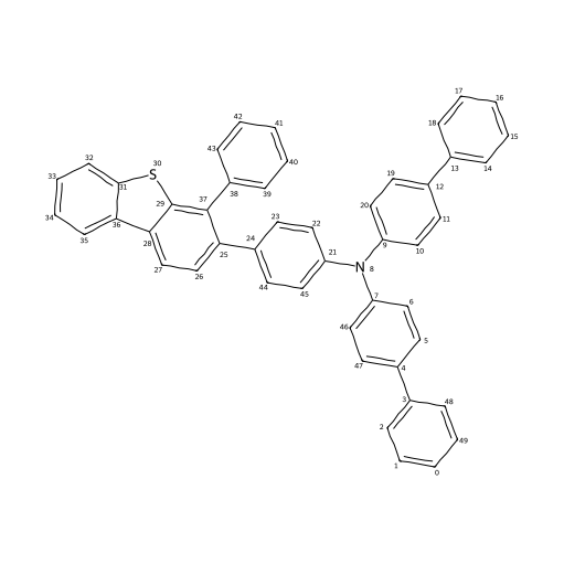 c1ccc(-c2ccc(N(c3ccc(-c4ccccc4)cc3)c3ccc(-c4ccc5c(sc6ccccc65)c4-c4ccccc4)cc3)cc2)cc1